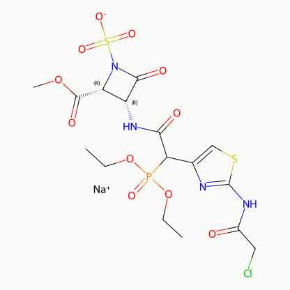 CCOP(=O)(OCC)C(C(=O)N[C@H]1C(=O)N(S(=O)(=O)[O-])[C@H]1C(=O)OC)c1csc(NC(=O)CCl)n1.[Na+]